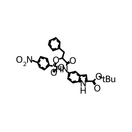 CC(C)(C)OC(=O)c1cc2cc(NC(=O)C(Cc3ccccc3)OS(=O)(=O)c3ccc([N+](=O)[O-])cc3)ccc2[nH]1